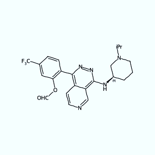 CC(C)N1CCC[C@@H](Nc2nnc(-c3ccc(C(F)(F)F)cc3OC=O)c3ccncc23)C1